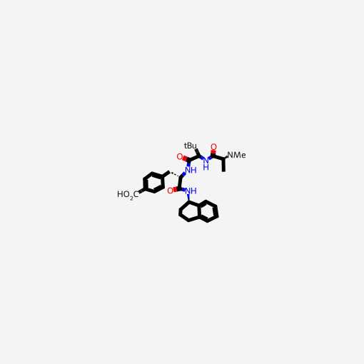 CN[C@@H](C)C(=O)NC(C(=O)N[C@@H](Cc1ccc(C(=O)O)cc1)C(=O)N[C@@H]1CCCc2ccccc21)C(C)(C)C